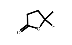 CC1(F)CCC(=O)O1